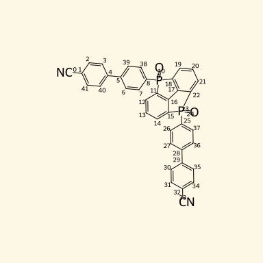 N#Cc1ccc(-c2ccc(P3(=O)c4cccc5c4-c4c3cccc4P5(=O)c3ccc(-c4ccc(C#N)cc4)cc3)cc2)cc1